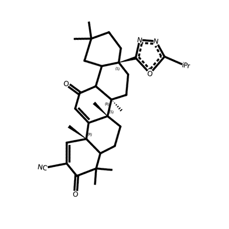 CC(C)c1nnc([C@]23CCC(C)(C)CC2C2C(=O)C=C4[C@@]5(C)C=C(C#N)C(=O)C(C)(C)C5CC[C@@]4(C)[C@]2(C)CC3)o1